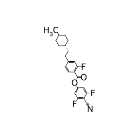 C[C@H]1CC[C@H](CCc2ccc(C(=O)Oc3cc(F)c(C#N)c(F)c3)c(F)c2)CC1